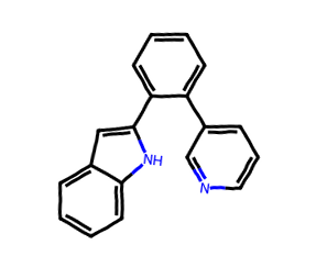 c1cncc(-c2ccccc2-c2cc3ccccc3[nH]2)c1